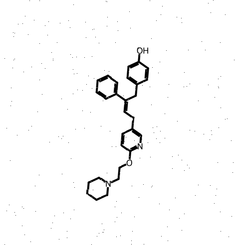 Oc1ccc(C/C(=C\Cc2ccc(OCCN3CCCCC3)nc2)c2ccccc2)cc1